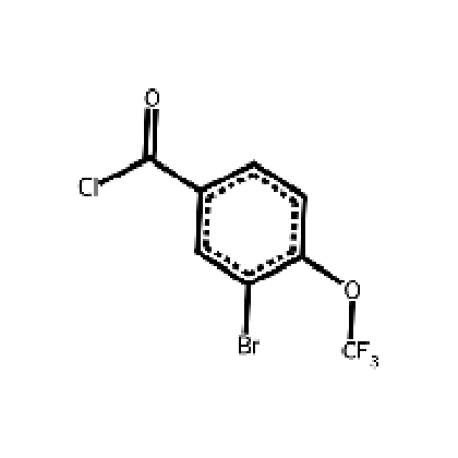 O=C(Cl)c1ccc(OC(F)(F)F)c(Br)c1